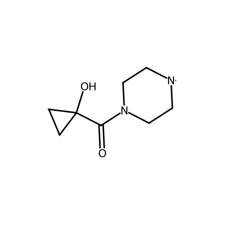 O=C(N1CC[N]CC1)C1(O)CC1